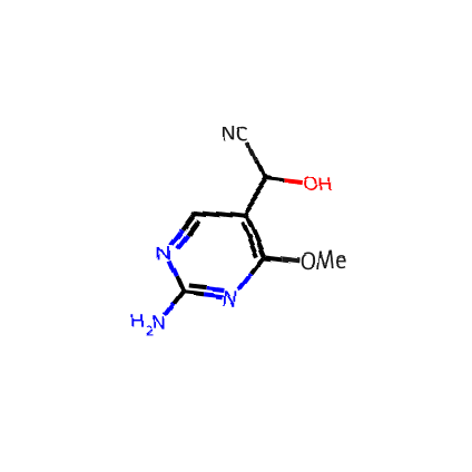 COc1nc(N)ncc1C(O)C#N